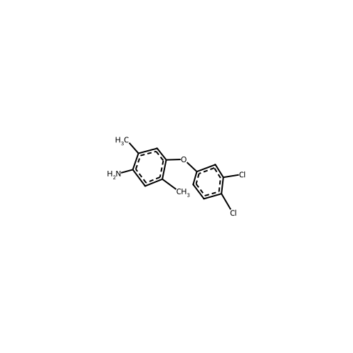 Cc1cc(Oc2ccc(Cl)c(Cl)c2)c(C)cc1N